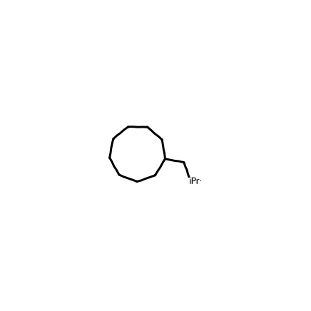 C[C](C)CC1CCCCCCCC1